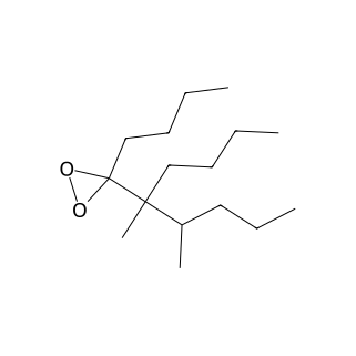 CCCCC1(C(C)(CCCC)C(C)CCC)OO1